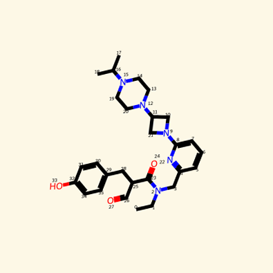 CCN(Cc1cccc(N2CC(N3CCN(C(C)C)CC3)C2)n1)C(=O)C(C=O)Cc1ccc(O)cc1